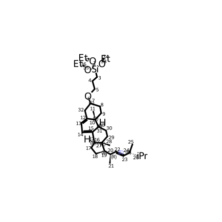 CCO[Si](CCCO[C@H]1CC[C@@]2(C)C(=CC=C3[C@@H]4CC[C@H]([C@H](C)/C=C/[C@H](C)C(C)C)[C@@]4(C)CC[C@@H]32)C1)(OCC)OCC